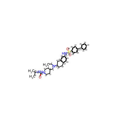 CCN(CC1CCN(C(=O)NC(C)C)CC1)C1CCc2ccc(NS(=O)(=O)c3ccc(-c4ccccc4)cc3)cc2C1